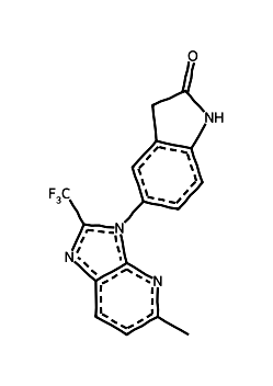 Cc1ccc2nc(C(F)(F)F)n(-c3ccc4c(c3)CC(=O)N4)c2n1